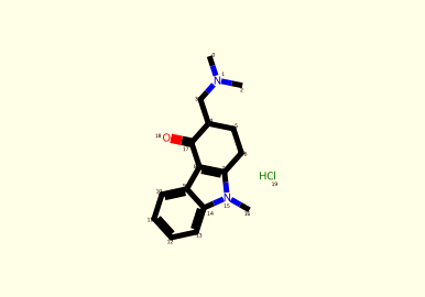 CN(C)CC1CCc2c(c3ccccc3n2C)C1=O.Cl